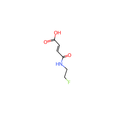 O=C(O)/C=C/C(=O)NCCF